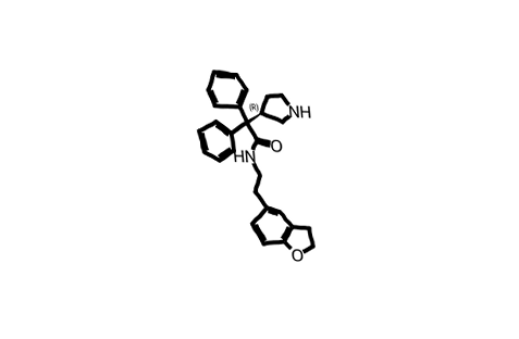 O=C(NCCc1ccc2c(c1)CCO2)C(c1ccccc1)(c1ccccc1)[C@H]1CCNC1